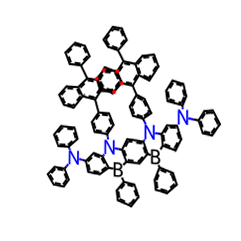 c1ccc(B2c3ccc(N(c4ccccc4)c4ccccc4)cc3N(c3ccc(-c4c5ccccc5c(-c5ccccc5)c5ccccc45)cc3)c3cc4c(cc32)B(c2ccccc2)c2ccc(N(c3ccccc3)c3ccccc3)cc2N4c2ccc(-c3c4ccccc4c(-c4ccccc4)c4ccccc34)cc2)cc1